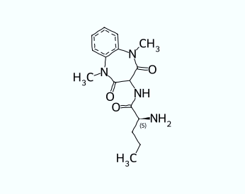 CCC[C@H](N)C(=O)NC1C(=O)N(C)c2ccccc2N(C)C1=O